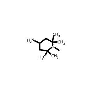 CC1(C)CC(N)CC(C)(C)N1I